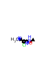 Cn1cc(-c2cc(Cl)c3nnc(NC(=O)C4CC4)cc3c2)cn1